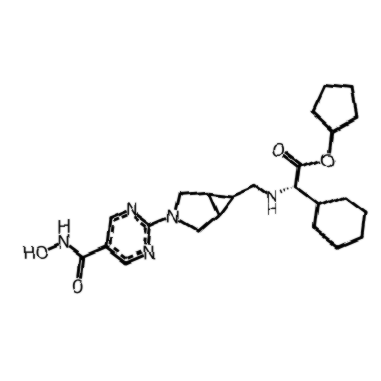 O=C(NO)c1cnc(N2CC3C(CN[C@H](C(=O)OC4CCCC4)C4CCCCC4)C3C2)nc1